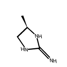 C[C@@H]1CNC(=N)N1